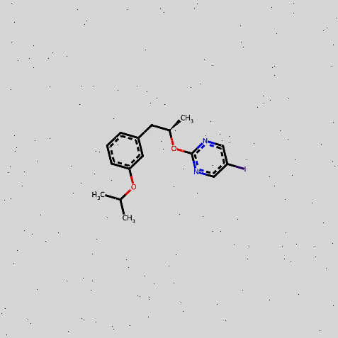 CC(C)Oc1cccc(C[C@@H](C)Oc2ncc(I)cn2)c1